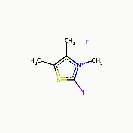 Cc1sc(I)[n+](C)c1C.[I-]